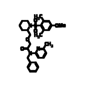 COc1cc(C)c(S(=O)(=O)N2CCCCC2COCC(=O)N(Cc2ccccc2)c2cccc(C)n2)c(C)c1